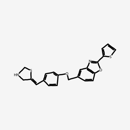 C(=C1CNCS1)c1ccc(OCc2ccc3oc(-c4cccs4)nc3c2)cc1